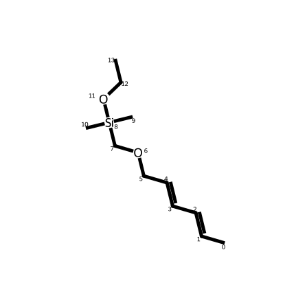 CC=CC=CCOC[Si](C)(C)OCC